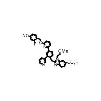 COCCn1c(Cc2ccc(-c3cccc(OCc4ccc(C#N)cc4F)n3)cc2-c2cccnc2)nc2ccc(C(=O)O)cc21